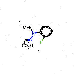 CCOC(=O)C=NN(NC)c1ccccc1F